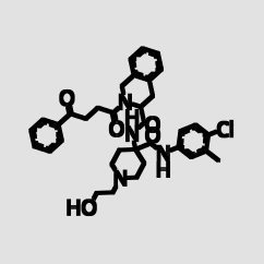 Cc1cc(NC(=O)C2(NC(=O)C3Cc4ccccc4CN3C(=O)CCC(=O)c3ccccc3)CCN(CCO)CC2)ccc1Cl